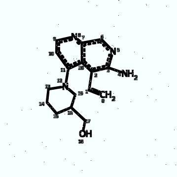 C=Cc1c(N)ncc2nccc(N3CCCC(CO)C3)c12